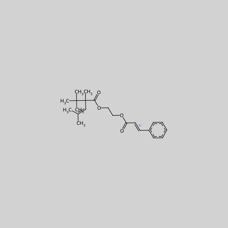 CC(C)=CC(C)(C(=O)OCCOC(=O)/C=C/c1ccccc1)C(C)(C)C